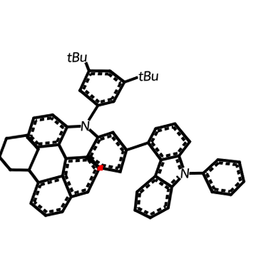 CC(C)(C)c1cc(N(c2cccc(-c3cccc4c3c3ccccc3n4-c3ccccc3)c2)c2ccccc2-c2cccc3cccc(C4CCCCC4)c23)cc(C(C)(C)C)c1